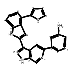 Nc1cncc(-c2cc3c(-c4cc5c(-c6cccs6)cccc5[nH]4)n[nH]c3cn2)c1